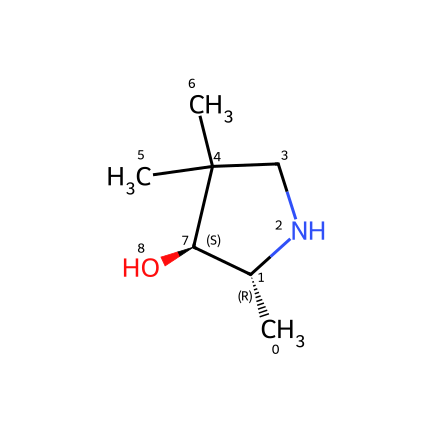 C[C@H]1NCC(C)(C)[C@@H]1O